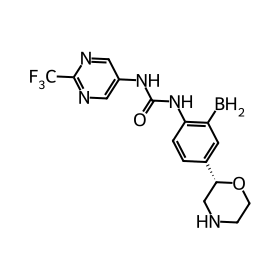 Bc1cc([C@H]2CNCCO2)ccc1NC(=O)Nc1cnc(C(F)(F)F)nc1